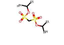 CCCC(CC)OS(=O)(=O)CS(=O)(=O)OC(CC)CCC